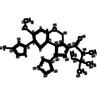 COc1cc2c(cc1-c1ccc(F)s1)-c1c(c(C(=O)N(C)C(C)(C)C)nn1-c1ccsc1)CO2